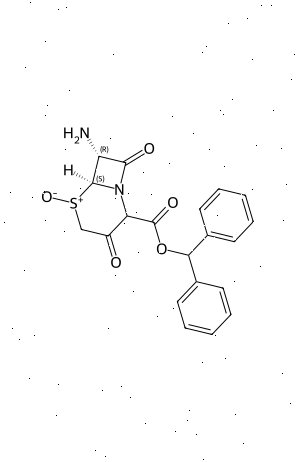 N[C@@H]1C(=O)N2C(C(=O)OC(c3ccccc3)c3ccccc3)C(=O)C[S+]([O-])[C@@H]12